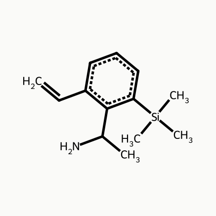 C=Cc1cccc([Si](C)(C)C)c1C(C)N